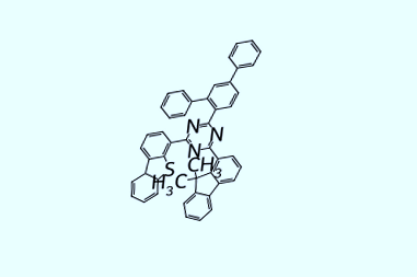 CC1(C)c2ccccc2-c2cccc(-c3nc(-c4ccc(-c5ccccc5)cc4-c4ccccc4)nc(-c4cccc5c4SC4C=CC=CC54)n3)c21